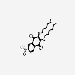 CCCCCCSC1=C(SCCCCCC)C(=O)c2cc([N+](=O)[O-])ccc2C1=O